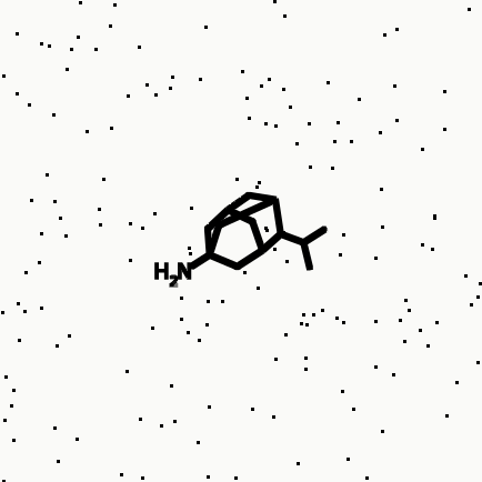 CC(C)C1C2CC3CC1CC(N)(C3)C2